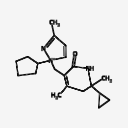 CC1=N[N+](CC2=C(C)CC(C)(C3CC3)NC2=O)(C2CCCC2)C=C1